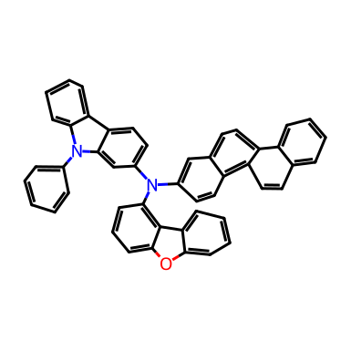 c1ccc(-n2c3ccccc3c3ccc(N(c4ccc5c(ccc6c7ccccc7ccc56)c4)c4cccc5oc6ccccc6c45)cc32)cc1